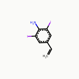 C=Cc1cc(I)c(N)c(I)c1